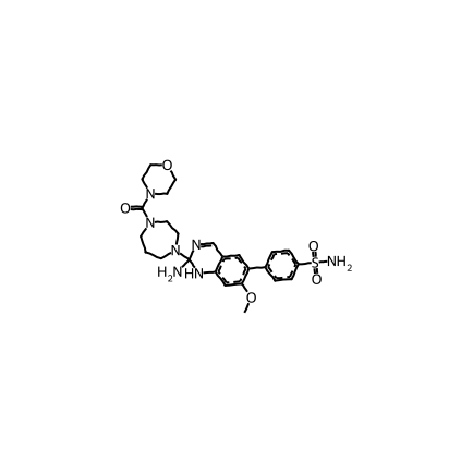 COc1cc2c(cc1-c1ccc(S(N)(=O)=O)cc1)C=NC(N)(N1CCCN(C(=O)N3CCOCC3)CC1)N2